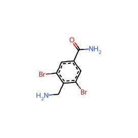 NCc1c(Br)cc(C(N)=O)cc1Br